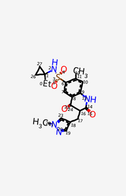 CCC1(NS(=O)(=O)c2cc3c(cc2C)NC(=O)C(Cc2cnn(C)c2)C3=O)CC1